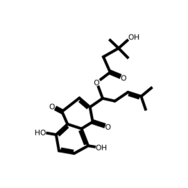 CC(C)=CCC(OC(=O)CC(C)(C)O)C1=CC(=O)c2c(O)ccc(O)c2C1=O